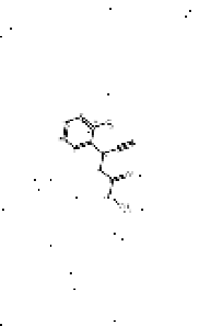 COC(=O)CC(C#N)c1ccccc1Cl